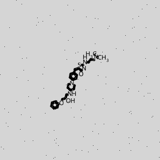 CN(C)CCCNC1=NC(=O)/C(=C\c2ccc(N3CCC(NCC(O)COc4ccccc4)CC3)cc2)S1